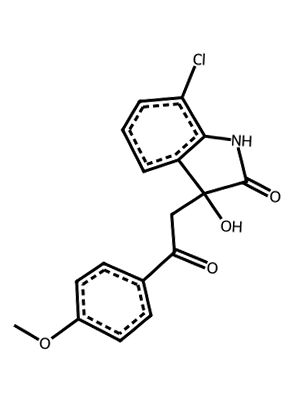 COc1ccc(C(=O)CC2(O)C(=O)Nc3c(Cl)cccc32)cc1